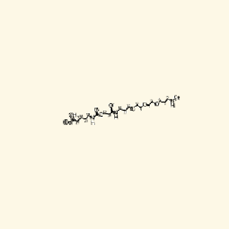 CCNCCCOCCOCCOCCCNC(=O)CCCC(=O)NCCCCN(C)C(C)(C)C